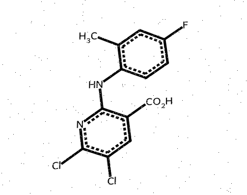 Cc1cc(F)ccc1Nc1nc(Cl)c(Cl)cc1C(=O)O